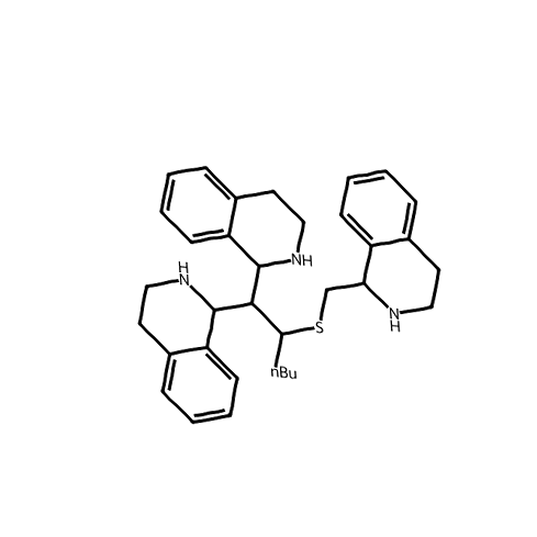 CCCCC(SCC1NCCc2ccccc21)C(C1NCCc2ccccc21)C1NCCc2ccccc21